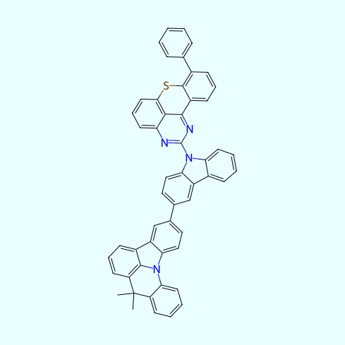 CC1(C)c2ccccc2-n2c3ccc(-c4ccc5c(c4)c4ccccc4n5-c4nc5c6c(cccc6n4)Sc4c(-c6ccccc6)cccc4-5)cc3c3cccc1c32